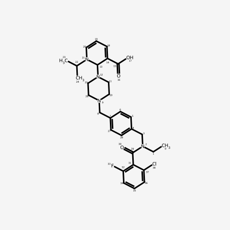 CCN(Cc1ccc(CN2CCN(C3C(C(=O)O)=CC=CN3C(C)C)CC2)cc1)C(=O)c1c(F)cccc1Cl